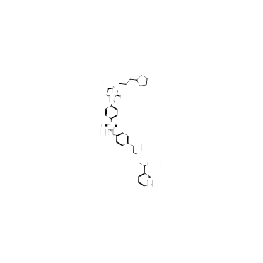 O=C1CN(c2ccc(S(=O)(=O)Nc3ccc(CCNCC(O)c4cccnc4)cc3)cc2)C(=O)N1CCCC1CCCC1